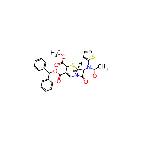 COC(=O)C1S[C@@H]2C(N(C(C)=O)c3cccs3)C(=O)N2C=C1C(=O)OC(c1ccccc1)c1ccccc1